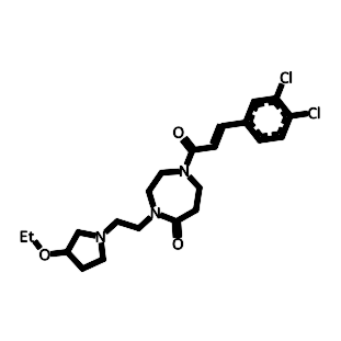 CCOC1CCN(CCN2CCN(C(=O)C=Cc3ccc(Cl)c(Cl)c3)CCC2=O)C1